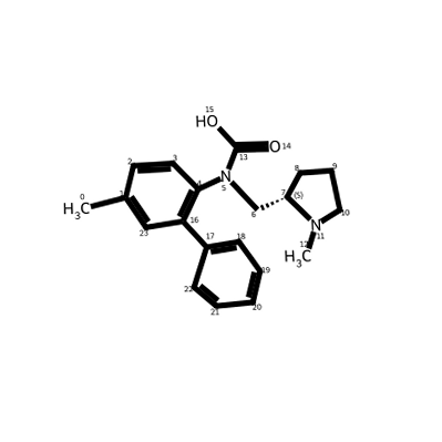 Cc1ccc(N(C[C@@H]2CCCN2C)C(=O)O)c(-c2ccccc2)c1